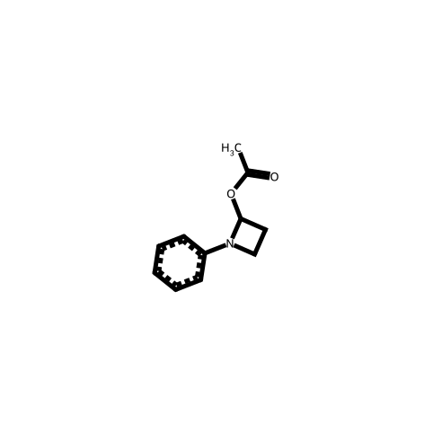 CC(=O)OC1CCN1c1ccccc1